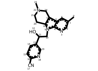 Cc1cnc2c(c1)c1c(n2CC(O)c2ccc(C#N)nc2)CCN(C)C1